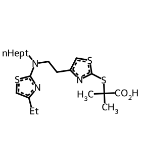 CCCCCCCN(CCc1csc(SC(C)(C)C(=O)O)n1)c1nc(CC)cs1